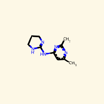 Cc1cc(NC2=NCCCN2)nc(C)n1